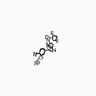 CN1CCC(COc2cc(-c3cnc4ccc(N5CCCC5c5cc(F)ccc5F)nn34)ccc2C#N)C1